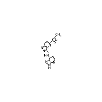 Cc1cc(-c2ccc3nnc(CNc4ccnc5[nH]cnc45)n3n2)sn1